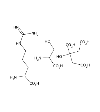 N=C(N)NCCCC(N)C(=O)O.NC(CO)C(=O)O.O=C(O)CC(O)(CC(=O)O)C(=O)O